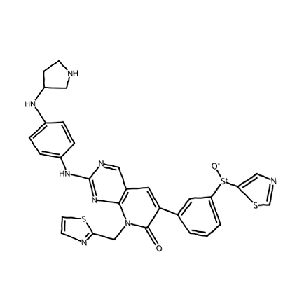 O=c1c(-c2cccc([S+]([O-])c3cncs3)c2)cc2cnc(Nc3ccc(NC4CCNC4)cc3)nc2n1Cc1nccs1